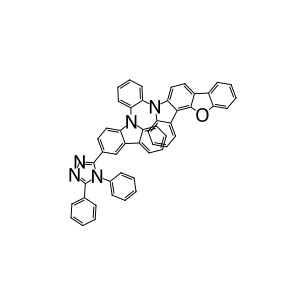 c1ccc(-c2nnc(-c3ccc4c(c3)c3ccccc3n4-c3ccccc3-n3c4ccccc4c4c5oc6ccccc6c5ccc43)n2-c2ccccc2)cc1